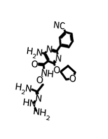 N#Cc1cccc(-c2nc(N)c(C(=O)NOC/C(N)=N/NN)c(OC3CCOC3)n2)c1